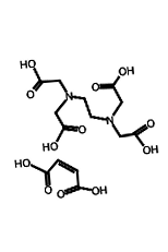 O=C(O)/C=C\C(=O)O.O=C(O)CN(CCN(CC(=O)O)CC(=O)O)CC(=O)O